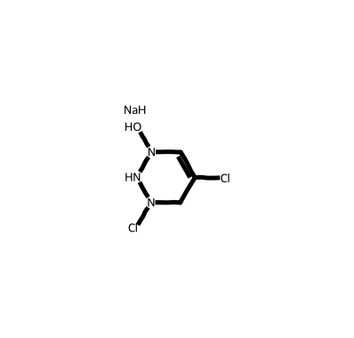 ON1C=C(Cl)CN(Cl)N1.[NaH]